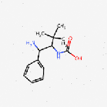 CC(C)(C)C(NC(=O)O)C(N)c1ccccc1